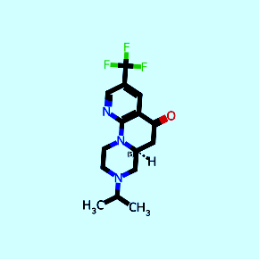 CC(C)N1CCN2c3ncc(C(F)(F)F)cc3C(=O)C[C@H]2C1